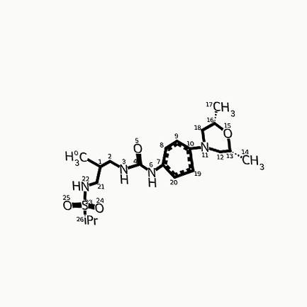 CC(CNC(=O)Nc1ccc(N2C[C@@H](C)O[C@@H](C)C2)cc1)CNS(=O)(=O)C(C)C